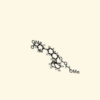 COCCOCOc1cc2ccc(-c3ccc(C(=O)OC)cn3)cc2cc1C12CC3CC(CC(C3)C1)C2